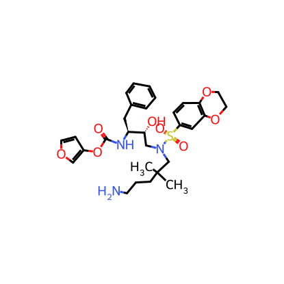 CC(C)(CCCN)CN(C[C@@H](O)[C@H](Cc1ccccc1)NC(=O)Oc1ccoc1)S(=O)(=O)c1ccc2c(c1)OCCO2